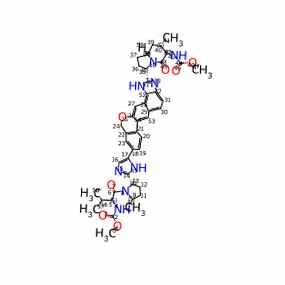 COC(=O)N[C@H](C(=O)N1[C@@H](C)CC[C@H]1c1ncc(-c2ccc3c(c2)COc2cc4c(ccc5nc([C@@H]6CC[C@@H]7C[C@H](C)[C@H](NC(=O)OC)C(=O)N76)[nH]c54)cc2-3)[nH]1)C(C)C